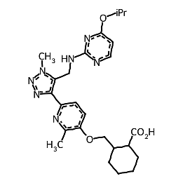 Cc1nc(-c2nnn(C)c2CNc2nccc(OC(C)C)n2)ccc1OCC1CCCCC1C(=O)O